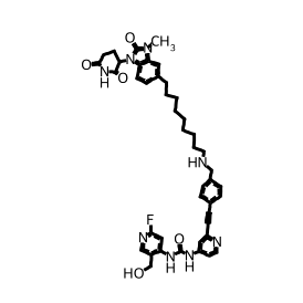 Cn1c(=O)n(C2CCC(=O)NC2=O)c2ccc(CCCCCCCCCNCc3ccc(C#Cc4cc(NC(=O)Nc5cc(F)ncc5CO)ccn4)cc3)cc21